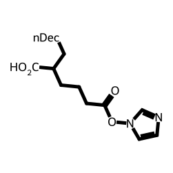 CCCCCCCCCCCC(CCCC(=O)On1ccnc1)C(=O)O